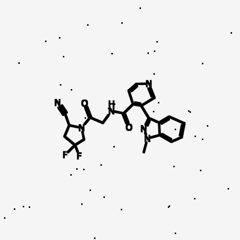 Cn1nc(-c2cnccc2C(=O)NCC(=O)N2CC(F)(F)CC2C#N)c2ccccc21